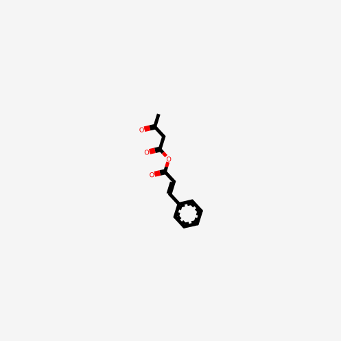 CC(=O)CC(=O)OC(=O)/C=C/c1ccccc1